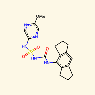 COc1cnc(NS(=O)(=O)NC(=O)Nc2c3c(cc4c2CCC4)CCC3)cn1